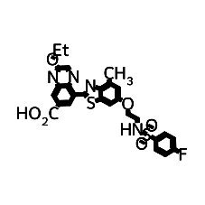 CCOc1cnc2c(-c3nc4c(C)cc(OCCNS(=O)(=O)c5ccc(F)cc5)cc4s3)cc(C(=O)O)cc2n1